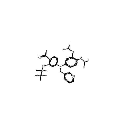 CC(=O)c1ccc(N(Cc2cccnc2)c2ccc(OC(F)F)c(OC(F)F)c2)cc1O[Si](C)(C)C(C)(C)C